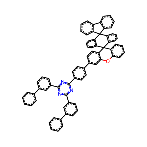 c1ccc(-c2cccc(-c3nc(-c4ccc(-c5ccc6c(c5)Oc5ccccc5C65c6ccccc6C6(c7ccccc7-c7ccccc76)c6ccccc65)cc4)nc(-c4cccc(-c5ccccc5)c4)n3)c2)cc1